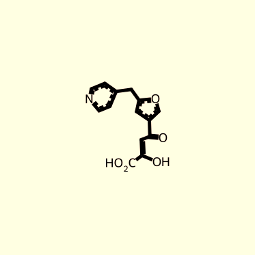 O=C(O)/C(O)=C/C(=O)c1coc(Cc2ccncc2)c1